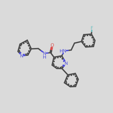 O=C(NCc1cccnc1)c1ccc(-c2ccccc2)nc1NCCc1cccc(F)c1